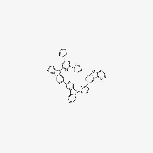 c1ccc(-c2cc(-n3c4ccccc4c4ccc(-c5ccc6c(c5)c5ccccc5n6-c5cccc(-c6ccc7oc8cccnc8c7c6)n5)cc43)nc(-c3ccccc3)n2)cc1